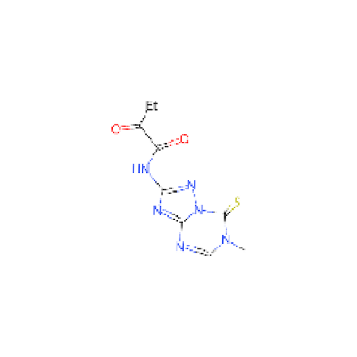 CCC(=O)C(=O)Nc1nc2ncn(C)c(=S)n2n1